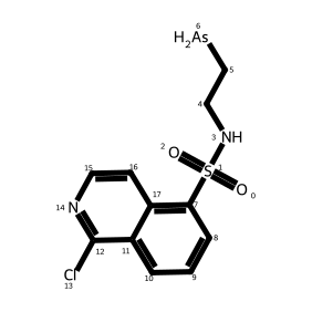 O=S(=O)(NCC[AsH2])c1cccc2c(Cl)nccc12